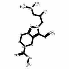 C=Cc1c2c(nn1CC(CC)CN(C)C)CCN(C(=O)OC(C)(C)C)C2